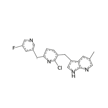 Cc1cnc2[nH]cc(Cc3ccc([CH]c4cncc(F)c4)nc3Cl)c2c1